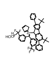 CC(C)(C)c1cc2c(cc1-c1ccccc1)[CH]([Zr]([C]1=CC=CC1)=[C](c1cccc(C(F)(F)F)c1)c1cccc(C(F)(F)F)c1)c1cc(-c3ccccc3)c(C(C)(C)C)cc1-2.Cl.Cl